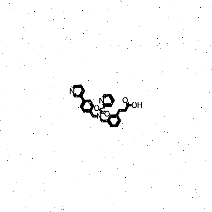 O=C(O)CCc1cccc(CN(Cc2ccc(-c3cccnc3)cc2)S(=O)(=O)c2ccccn2)c1